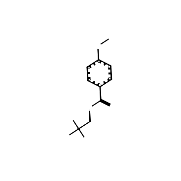 COc1ccc(C(=O)OCC(F)(F)F)cc1